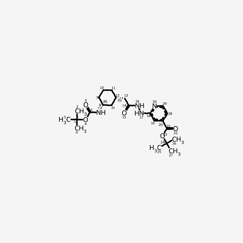 CC(C)(C)OC(=O)N[C@@H]1CCC[C@H](CC(=O)NNc2cc(C(=O)OC(C)(C)C)ccn2)C1